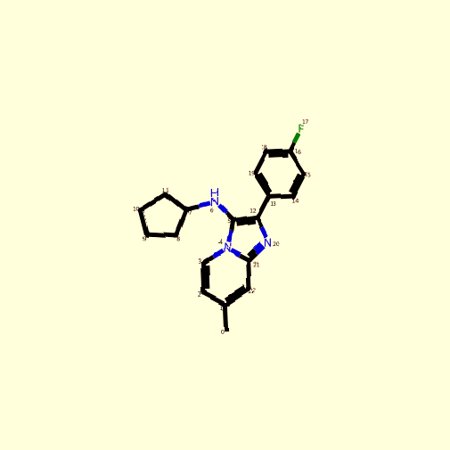 Cc1ccn2c(NC3CCCC3)c(-c3ccc(F)cc3)nc2c1